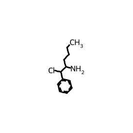 CCCCC(N)C(Cl)c1ccccc1